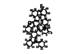 Cc1ccc(N(c2ccc3c4ccccc4n(-c4ccccc4)c3c2)c2cc3c(c4oc5ccccc5c24)-c2ccccc2C32c3cc(F)ccc3-c3ccc(F)cc32)cc1